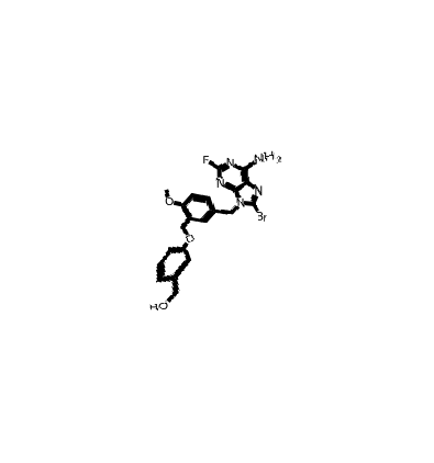 COc1ccc(Cn2c(Br)nc3c(N)nc(F)nc32)cc1COc1cccc(CO)c1